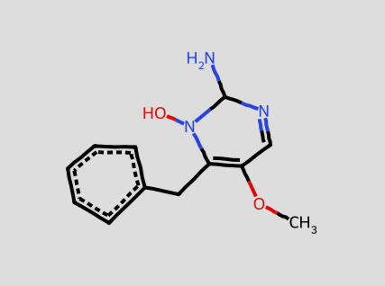 COC1=C(Cc2ccccc2)N(O)C(N)N=C1